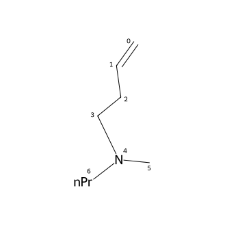 C=CCCN(C)CCC